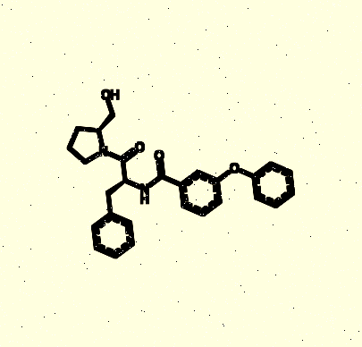 O=C(N[C@@H](Cc1ccccc1)C(=O)N1CCC[C@H]1CO)c1cccc(Oc2ccccc2)c1